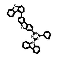 c1ccc(-c2nc(-c3ccc4c(c3)oc3ccc(-c5cccc6sc7ccccc7c56)cc34)nc(-n3c4ccccc4c4ccccc43)n2)cc1